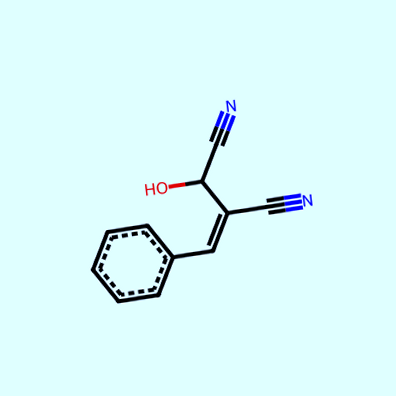 N#C/C(=C/c1ccccc1)C(O)C#N